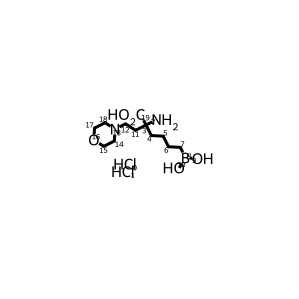 Cl.Cl.NC(CCCCB(O)O)(CCN1CCOCC1)C(=O)O